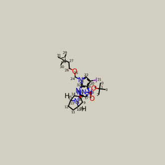 CC(C)(C)OC(=O)N[C@H]1C[C@H]2CC[C@@H](C1)N2c1cnc2c(I)cn(COCC[Si](C)(C)C)c2n1